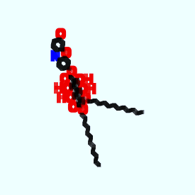 CCCCCCCCCCCCOC(=O)[C@H](OCCCCCCCCCCCC)[C@@H](O)[C@H](O)[C@H](O)[C@@H](O)C(=O)Oc1ccc2nc3ccc(=O)cc-3oc2c1